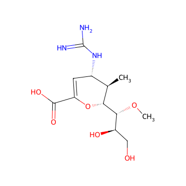 CO[C@@H]([C@@H]1OC(C(=O)O)=C[C@H](NC(=N)N)[C@H]1C)[C@H](O)CO